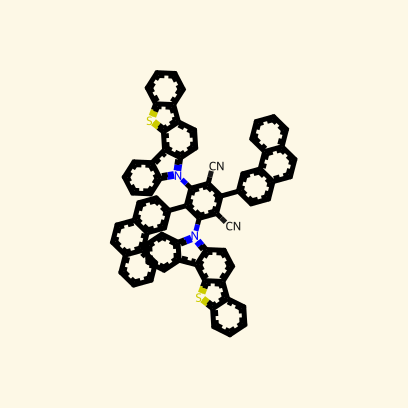 N#Cc1c(-c2ccc3ccc4ccccc4c3c2)c(C#N)c(-n2c3ccccc3c3c4sc5ccccc5c4ccc32)c(-c2ccc3ccc4ccccc4c3c2)c1-n1c2ccccc2c2c3sc4ccccc4c3ccc21